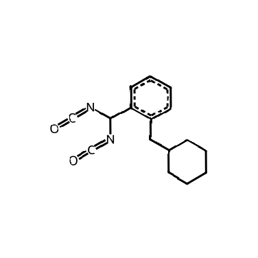 O=C=NC(N=C=O)c1ccccc1CC1CCCCC1